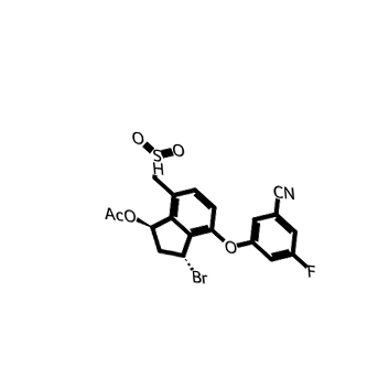 CC(=O)O[C@@H]1C[C@@H](Br)c2c(Oc3cc(F)cc(C#N)c3)ccc(C[SH](=O)=O)c21